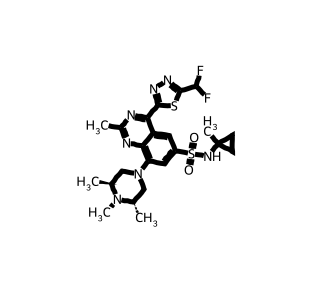 Cc1nc(-c2nnc(C(F)F)s2)c2cc(S(=O)(=O)NC3(C)CC3)cc(N3C[C@H](C)N(C)[C@@H](C)C3)c2n1